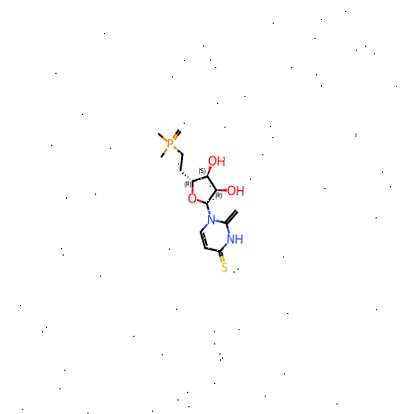 C=C1NC(=S)C=CN1C1O[C@H](CCP(=C)(C)C)[C@@H](O)[C@H]1O